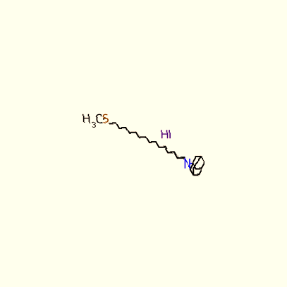 CSCCCCCCCCCCCCCCCC=NC12CC3CC(CC(C3)C1)C2.I